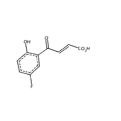 O=C(O)/C=C/C(=O)c1cc(F)ccc1O